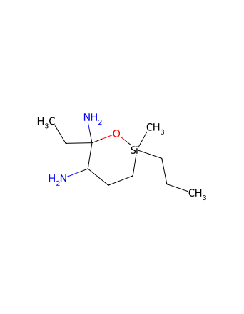 CCC[Si]1(C)CCC(N)C(N)(CC)O1